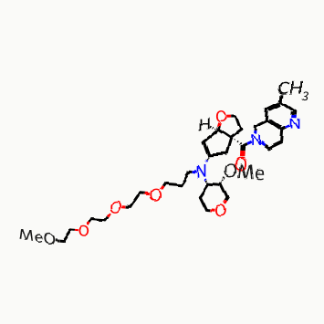 COCCOCCOCCOCCCN([C@@H]1C[C@H]2OCC[C@@]2(C(=O)N2CCc3ncc(C)cc3C2)C1)[C@H]1CCOC[C@H]1OC